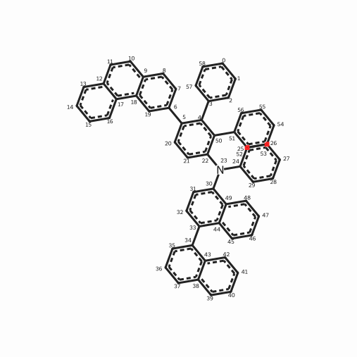 c1ccc(-c2c(-c3ccc4ccc5ccccc5c4c3)ccc(N(c3ccccc3)c3ccc(-c4cccc5ccccc45)c4ccccc34)c2-c2ccccc2)cc1